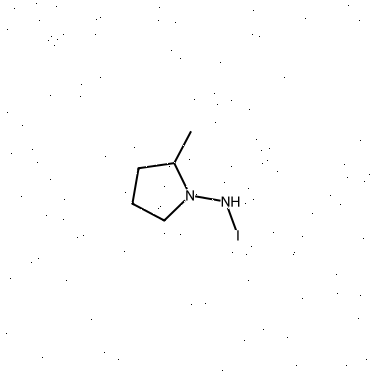 CC1CCCN1NI